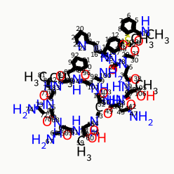 CNC(=O)c1ccccc1Sc1ccc2c(/C=C/c3ccccn3)nn(C(=O)N(CCOC(C)=O)CCC(=O)N[C@H](C(=O)N[C@@H](CCN)C(=O)N[C@H]3CCNC(=O)[C@H]([C@@H](C)O)NC(=O)[C@H](CCN)NC(=O)[C@H](CCN)NC(=O)[C@H](CC(C)C)NC(=O)[C@@H](Cc4ccccc4)NC(=O)[C@H](CCN)NC3=O)[C@@H](C)O)c2c1